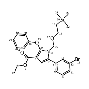 CCOC(=O)c1cc(-c2cccc(Br)c2)n(COCC[Si](C)(C)C)c1Oc1ccccc1